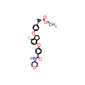 CCOC(=O)[C@H]1C[C@@H]1c1ccc(O[C@@H]2CCc3c(Oc4ccc(C(=O)NC5CCOCC5)cc4)ccc(F)c32)cc1